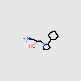 NC[C@@H](O)CN1CCCC1C1CCCCC1